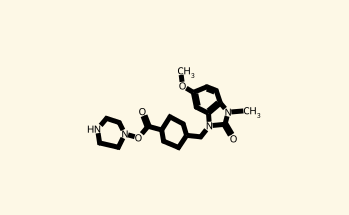 COc1ccc2c(c1)n(CC1CCC(C(=O)ON3CCNCC3)CC1)c(=O)n2C